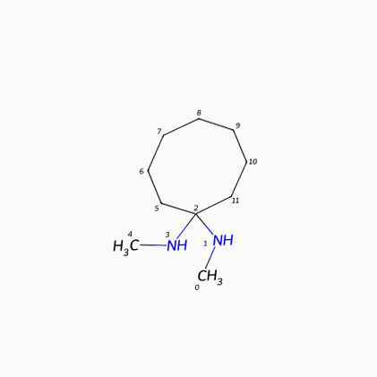 CNC1(NC)CCCCCCC1